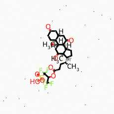 CC(CCC(=O)OC(C(F)(F)F)C(F)(F)S(=O)(=O)O)[C@H]1CC[C@@H]2[C@H]3C(=O)C[C@@H]4CC(=O)CC[C@]4(C)[C@H]3CC(=O)[C@]12C